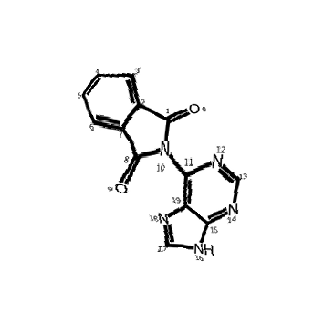 O=C1c2ccccc2C(=O)N1c1ncnc2[nH]cnc12